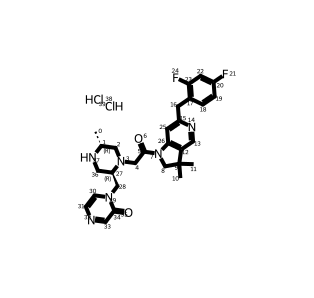 C[C@@H]1CN(CC(=O)N2CC(C)(C)c3cnc(Cc4ccc(F)cc4F)cc32)[C@@H](Cn2ccncc2=O)CN1.Cl.Cl